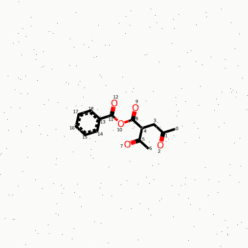 CC(=O)CC(C(C)=O)C(=O)OC(=O)c1ccccc1